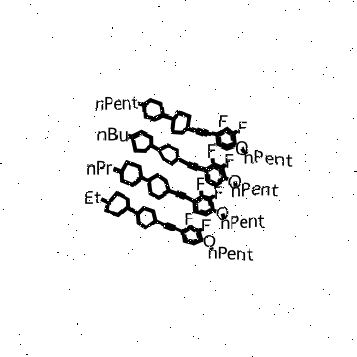 CCCCCOc1ccc(C#CC2CCC(C3CCC(CC)CC3)CC2)c(F)c1F.CCCCCOc1ccc(C#CC2CCC(C3CCC(CCC)CC3)CC2)c(F)c1F.CCCCCOc1ccc(C#CC2CCC(C3CCC(CCCC)CC3)CC2)c(F)c1F.CCCCCOc1ccc(C#CC2CCC(C3CCC(CCCCC)CC3)CC2)c(F)c1F